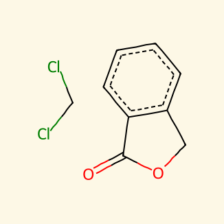 ClCCl.O=C1OCc2ccccc21